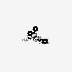 C[C@@H](Cc1ccc(F)c(F)c1)C(=O)NC1N=C(c2ccccc2)c2ccccc2N(CC(N)=O)C1=O